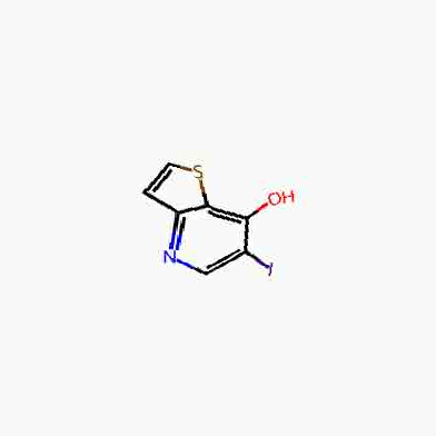 Oc1c(I)cnc2ccsc12